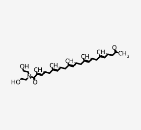 CC(=O)CC/C=C(\C)CC/C=C(\C)CC/C=C(\C)CC/C=C(\C)CC/C=C(\C)C(=O)N(CCO)CCO